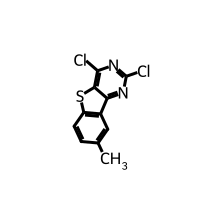 Cc1ccc2sc3c(Cl)nc(Cl)nc3c2c1